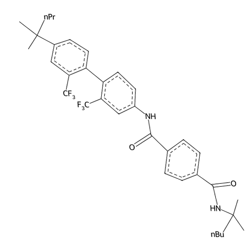 CCCCC(C)(C)NC(=O)c1ccc(C(=O)Nc2ccc(-c3ccc(C(C)(C)CCC)cc3C(F)(F)F)c(C(F)(F)F)c2)cc1